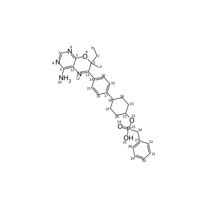 CCC1(C)Oc2ncnc(N)c2N=C1c1ccc(C2CCC(OP(=O)(O)Cc3ccccc3)CC2)cc1